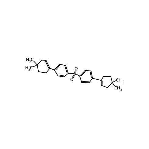 CC1(C)CC=C(c2ccc(S(=O)(=O)c3ccc(C4=CCC(C)(C)CC4)cc3)cc2)CC1